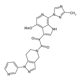 COc1cnc(-n2cnc(C)n2)c2[nH]cc(C(=O)C(=O)N3CCc4c(cnn4-c4cccnc4)C3)c12